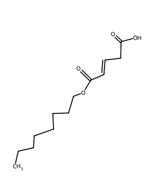 CCCCCCCCOC(=O)C=CCC(=O)O